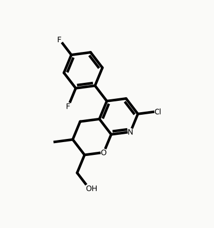 CC1Cc2c(-c3ccc(F)cc3F)cc(Cl)nc2OC1CO